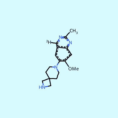 [2H]c1nc(C)nc2cc(OC)c(N3CCC4(CC3)CNC4)cc12